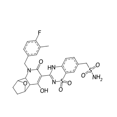 Cc1cc(CN2C(=O)C(C3=NS(=O)(=O)c4cc(CS(N)(=O)=O)ccc4N3)=C(O)C3C4CCC(O4)C32)ccc1F